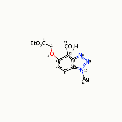 CCOC(=O)COc1ccc2c(nn[n]2[Ag])c1C(=O)O